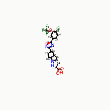 O=C(O)CC[C@H]1Cc2cc(-c3noc(-c4ccc(Cl)c(OC(F)(F)F)c4)n3)ccc2N1